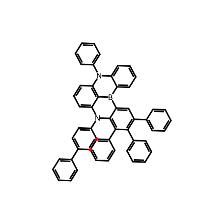 c1ccc(-c2ccc(N3c4cccc5c4B(c4ccccc4N5c4ccccc4)c4cc(-c5ccccc5)c(-c5ccccc5)c(-c5ccccc5)c43)cc2)cc1